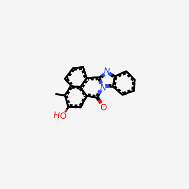 Cc1c(O)cc2c(=O)n3c4ccccc4nc3c3cccc1c23